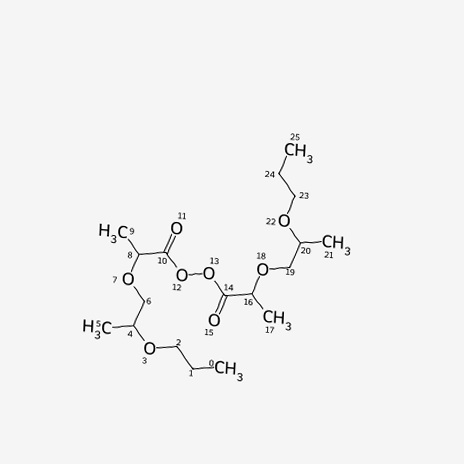 CCCOC(C)COC(C)C(=O)OOC(=O)C(C)OCC(C)OCCC